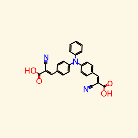 N#C/C(=C\c1ccc(N(c2ccccc2)c2ccc(/C=C(\C#N)C(=O)O)cc2)cc1)C(=O)O